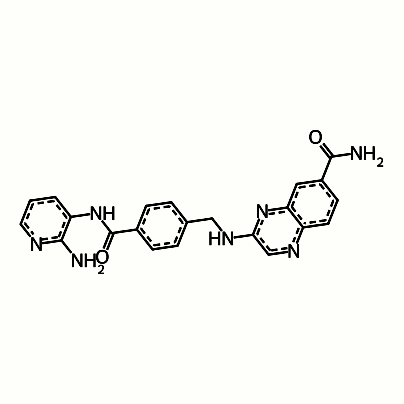 NC(=O)c1ccc2ncc(NCc3ccc(C(=O)Nc4cccnc4N)cc3)nc2c1